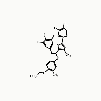 Cc1cc(SC(Cc2cc(F)c(F)c(F)c2)c2sc(-c3ccc(C(F)(F)F)c(F)c3)nc2C)ccc1OCC(=O)O